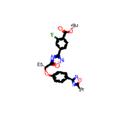 CC[C@@H](Oc1ccc(-c2noc(C(C)C)n2)cc1)c1nc(-c2ccc(C(=O)OC(C)(C)C)c(F)c2)no1